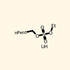 CCCCCCOS(=O)(=O)OCC.[LiH]